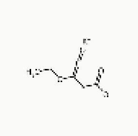 CCOC(=C=O)CC(=O)[O-].[K+]